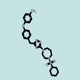 Cc1ccc(Oc2ccc(Cc3nsc(N4CCCN(S(=O)(=O)C5CCCCC5)CC4)n3)cc2)cc1